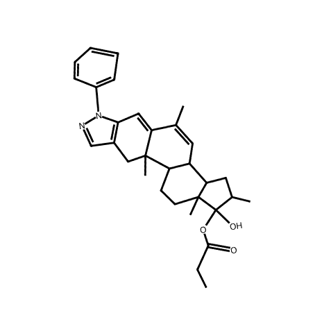 CCC(=O)OC1(O)C(C)CC2C3C=C(C)C4=Cc5c(cnn5-c5ccccc5)CC4(C)C3CCC21C